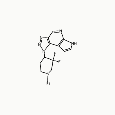 CCN1CCC(n2nnc3cnc4[nH]ccc4c32)C(F)(F)C1